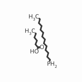 CCCCCC(=O)O.CCCCCCCCCCCCCCP